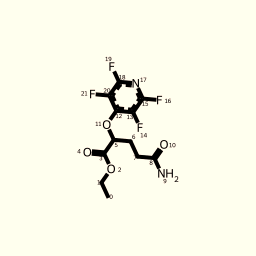 CCOC(=O)C(CCC(N)=O)Oc1c(F)c(F)nc(F)c1F